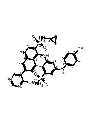 COc1ncncc1-c1ccc2c(Nc3cc(Oc4ccc(F)cc4)cc(S(N)(=O)=O)c3)c(S(=O)(=O)NC3CC3)cnc2c1